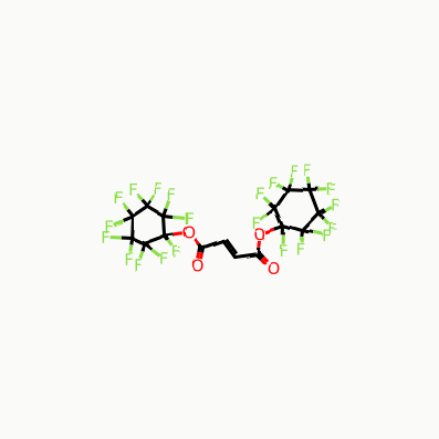 O=C(/C=C/C(=O)OC1(F)C(F)(F)C(F)(F)C(F)(F)C(F)(F)C1(F)F)OC1(F)C(F)(F)C(F)(F)C(F)(F)C(F)(F)C1(F)F